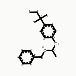 CCC(C)(C)c1ccc(OC(C)OCc2ccccc2)cc1